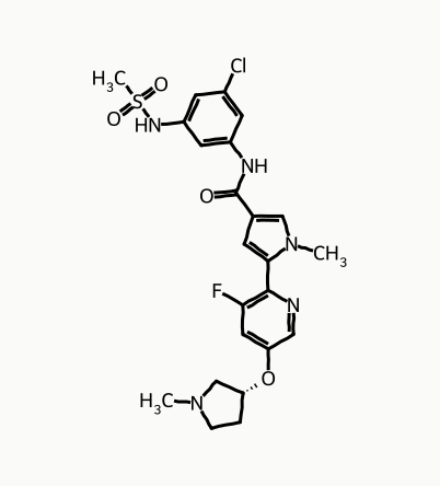 CN1CC[C@@H](Oc2cnc(-c3cc(C(=O)Nc4cc(Cl)cc(NS(C)(=O)=O)c4)cn3C)c(F)c2)C1